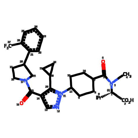 CC(C)[C@@H](C(=O)O)N(C)C(=O)C1CCC(n2ncc(C(=O)N3CCC(c4ccccc4C(F)(F)F)C3)c2C2CC2)CC1